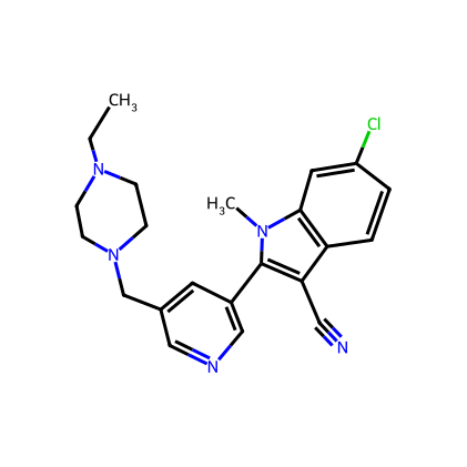 CCN1CCN(Cc2cncc(-c3c(C#N)c4ccc(Cl)cc4n3C)c2)CC1